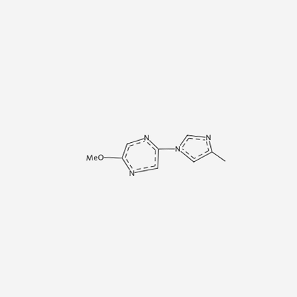 COc1cnc(-n2cnc(C)c2)cn1